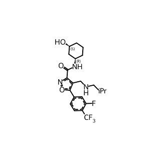 CC(C)CNCc1c(C(=O)N[C@@H]2CCC[C@H](O)C2)noc1-c1ccc(C(F)(F)F)c(F)c1